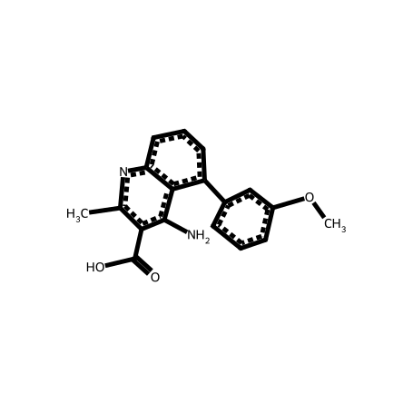 COc1cccc(-c2cccc3nc(C)c(C(=O)O)c(N)c23)c1